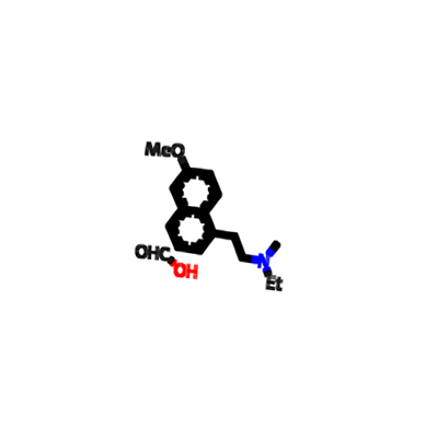 CCN(C)CCc1cccc2cc(OC)ccc12.O=CO